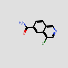 NC(=O)c1ccc2cncc(Cl)c2c1